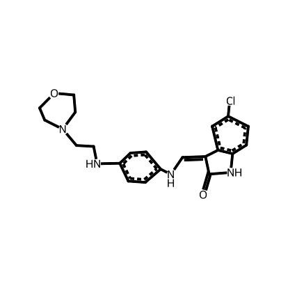 O=C1Nc2ccc(Cl)cc2C1=CNc1ccc(NCCN2CCOCC2)cc1